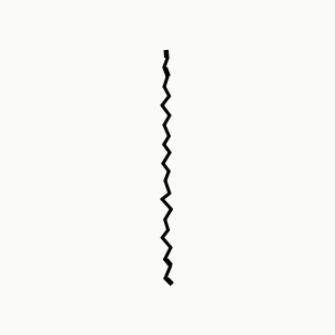 C=CC=CCCCCCCCCCCCCCCCCCCC=CC=C